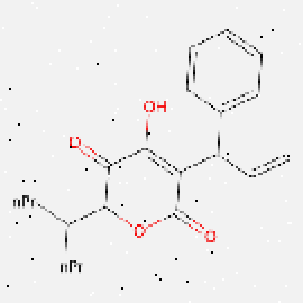 C=CC(C1=C(O)C(=O)C(C(CCC)CCC)OC1=O)c1ccccc1